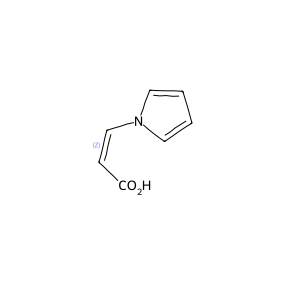 O=C(O)/C=C\n1cccc1